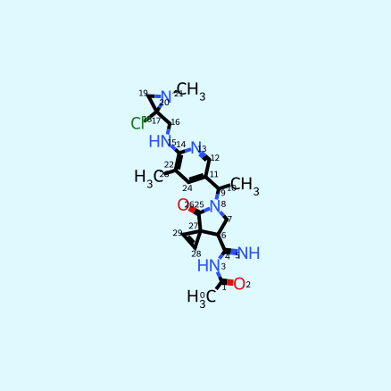 CC(=O)NC(=N)C1CN(C(C)c2cnc(NCC3(Cl)C[N@]3C)c(C)c2)C(=O)C12C=C2